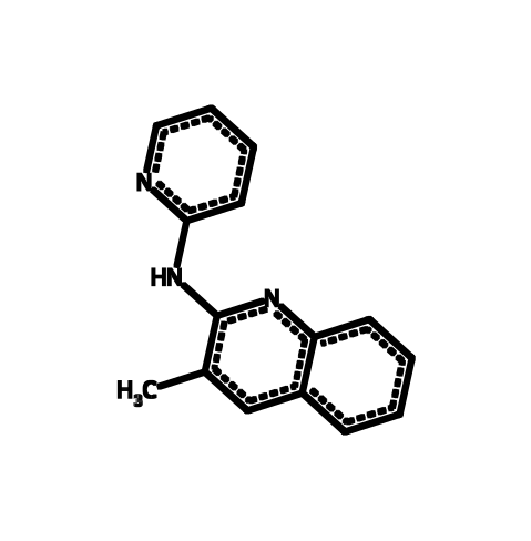 Cc1cc2ccccc2nc1Nc1ccccn1